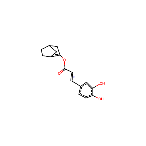 O=C(/C=C/c1ccc(O)c(O)c1)OC1=C2CCC(C2)C1